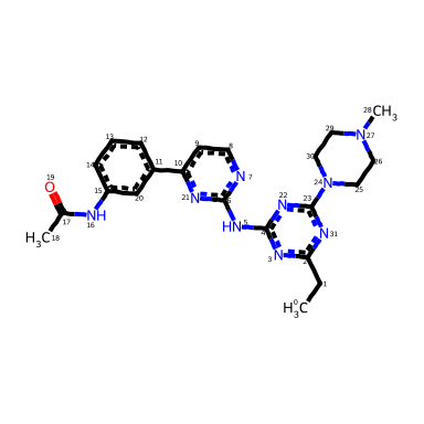 CCc1nc(Nc2nccc(-c3cccc(NC(C)=O)c3)n2)nc(N2CCN(C)CC2)n1